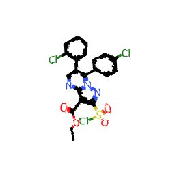 CCOC(=O)c1c(S(=O)(=O)Cl)nn2c(-c3ccc(Cl)cc3)c(-c3ccccc3Cl)cnc12